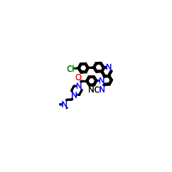 CN(C)CCN1CCN(C(=O)c2ccc(-n3/c(=N\C#N)ccc4cnc5ccc(-c6ccc(Cl)cc6)cc5c43)cc2)CC1